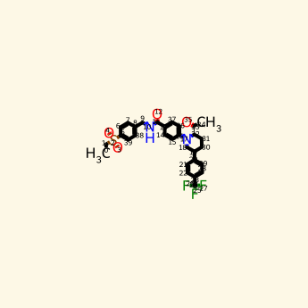 CCS(=O)(=O)c1ccc(CNC(=O)c2ccc(N3CC(c4ccc(C(F)(F)F)cc4)CC[C@H]3C(C)=O)cc2)cc1